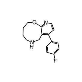 Fc1ccc(-c2ccnc3c2CNCCCCO3)cc1